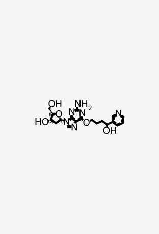 Nc1nc(OCCCC(O)c2cccnc2)c2ncn([C@H]3C[C@H](O)[C@@H](CO)O3)c2n1